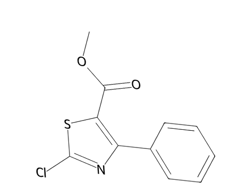 COC(=O)c1sc(Cl)nc1-c1ccccc1